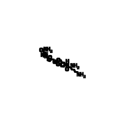 NCCCCC(N)C(=O)Nc1ccc2c(c1)COP(OCC1CCC(n3cnc(C(N)=O)n3)O1)O2